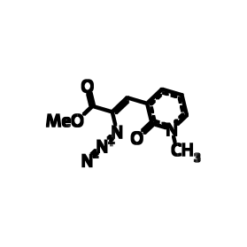 COC(=O)/C(=C/c1cccn(C)c1=O)N=[N+]=[N-]